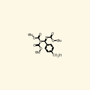 CCOC(=O)c1ccc(C(=NC(=O)OC(C)(C)C)N(C(=O)OC(C)(C)C)C(=O)OC(C)(C)C)cc1